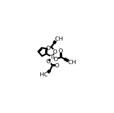 C#CC(=O)[O][Ti]([O]C(=O)C#C)([O]C(=O)C#C)[C]1=CC=CC1